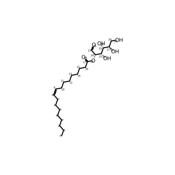 CCCCCCCC/C=C\CCCCCCCC(=O)O[C@H](C=O)[C@@H](O)[C@H](O)[C@H](O)CO